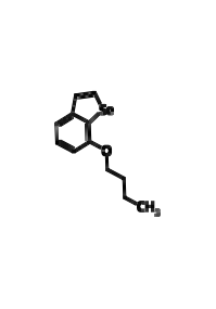 CCCCOc1cccc2cc[se]c12